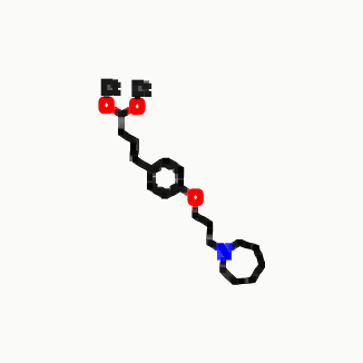 CCOC(CC=Cc1ccc(OCCCN2CCCCCC2)cc1)OCC